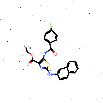 CCOC(=O)c1nc(Nc2ccc3ccccc3c2)sc1NC(=O)c1ccc(F)cc1